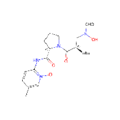 CCCC[C@H](CN(O)C=O)C(=O)N1CCC[C@H]1C(=O)Nc1ccc(C)c[n+]1[O-]